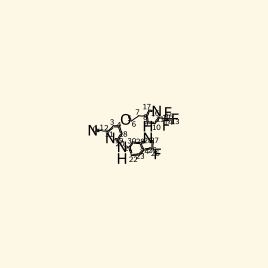 N#Cc1cc(OCCc2ccc(C(F)(F)F)nc2)cc(Nc2ccc3c(F)c[nH]c3c2)n1